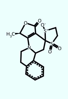 C[C@H]1OC(=O)C2=C1N1CCc3ccccc3C1CC21[S+]([O-])CCS1(=O)=O